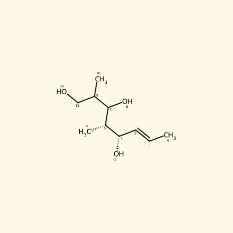 C/C=C/[C@H](O)[C@H](C)C(O)C(C)CO